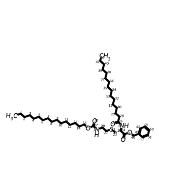 CCCCCCCCCCCCCCCCOC(=O)NCCSC[C@H](NC(=O)CCCCCCCCCCCCCCC)C(=O)OCc1ccccc1